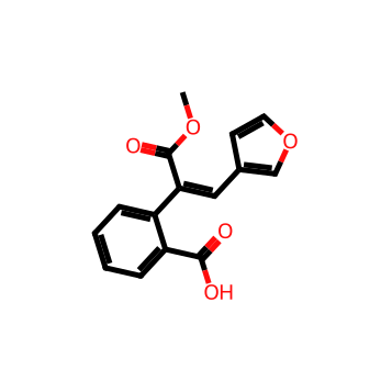 COC(=O)C(=Cc1ccoc1)c1ccccc1C(=O)O